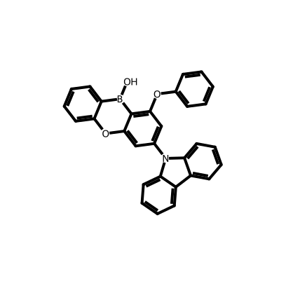 OB1c2ccccc2Oc2cc(-n3c4ccccc4c4ccccc43)cc(Oc3ccccc3)c21